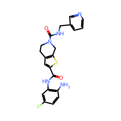 Nc1ccc(F)cc1NC(=O)c1cc2c(s1)CN(C(=O)NCc1cccnc1)CC2